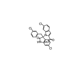 O=C(O)c1cc2ccc(Cl)cc2n1C1(Cc2cccc(Cl)c2)C(=O)Nc2cc(Cl)ccc21